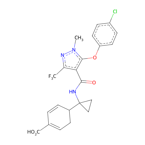 Cn1nc(C(F)(F)F)c(C(=O)NC2(C3C=CC(C(=O)O)=CC3)CC2)c1Oc1ccc(Cl)cc1